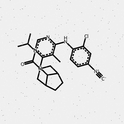 [C-]#[N+]c1ccc(Nc2ncnc(OC3C4CCC3CN(C(=O)OC(C)C)C4)c2C)c(Cl)c1